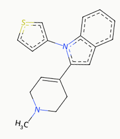 CN1CC=C(c2cc3ccccc3n2-c2ccsc2)CC1